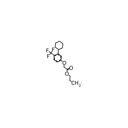 [CH2]CCOC(=O)COc1ccc(C(F)(F)F)c(C2CCCCC2)c1